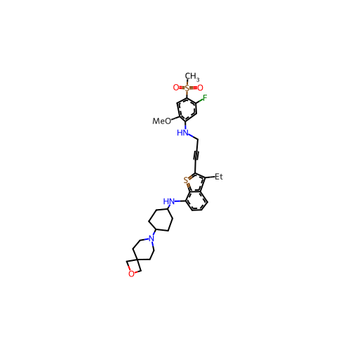 CCc1c(C#CCNc2cc(F)c(S(C)(=O)=O)cc2OC)sc2c(NC3CCC(N4CCC5(CC4)COC5)CC3)cccc12